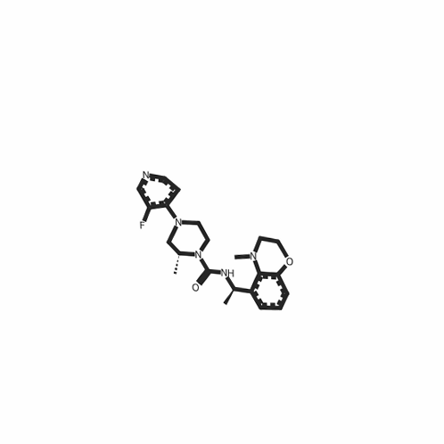 C[C@@H]1CN(c2ccncc2F)CCN1C(=O)N[C@H](C)c1cccc2c1N(C)CCO2